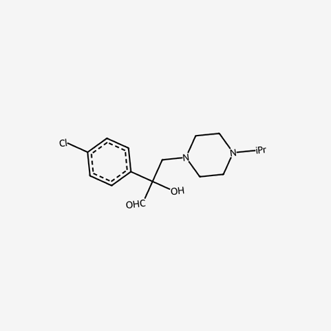 CC(C)N1CCN(CC(O)(C=O)c2ccc(Cl)cc2)CC1